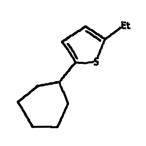 CCc1ccc(C2CCCCC2)s1